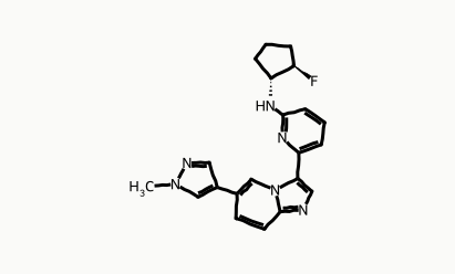 Cn1cc(-c2ccc3ncc(-c4cccc(N[C@@H]5CCC[C@H]5F)n4)n3c2)cn1